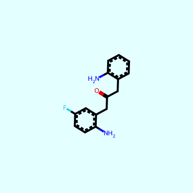 Nc1ccccc1CC(=O)Cc1cc(F)ccc1N